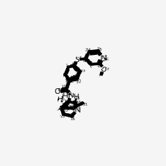 COc1cc(Sc2ccc(C(=O)N[C@@H]3C4CCN(CC4)[C@H]3C)cc2)ccn1